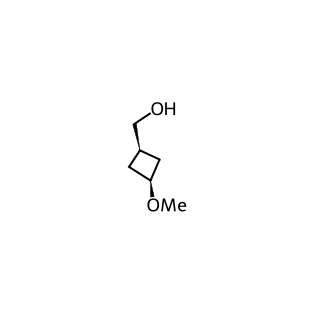 CO[C@H]1C[C@@H](CO)C1